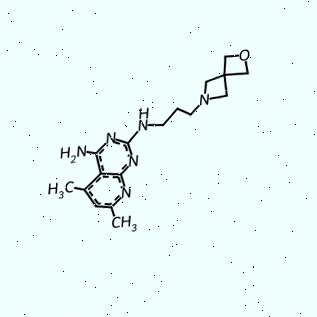 Cc1cc(C)c2c(N)nc(NCCCN3CC4(COC4)C3)nc2n1